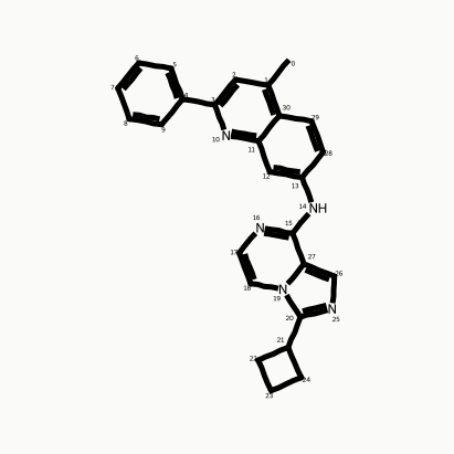 Cc1cc(-c2ccccc2)nc2cc(Nc3nccn4c(C5CCC5)ncc34)ccc12